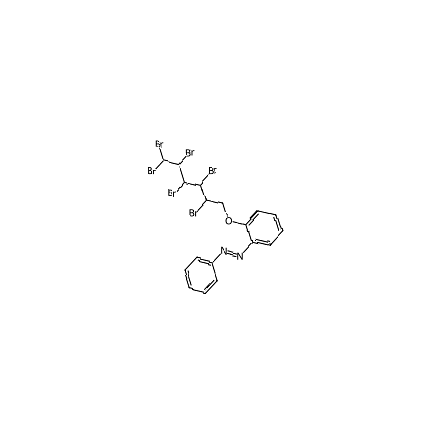 BrC(Br)C(Br)C(Br)C(Br)C(Br)COc1ccccc1N=Nc1ccccc1